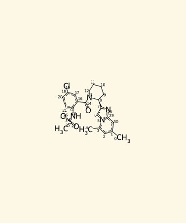 Cc1cc(C)n2cc([C@@H]3CCCCN3C(=O)c3cc(Cl)ccc3NS(C)(=O)=O)nc2c1